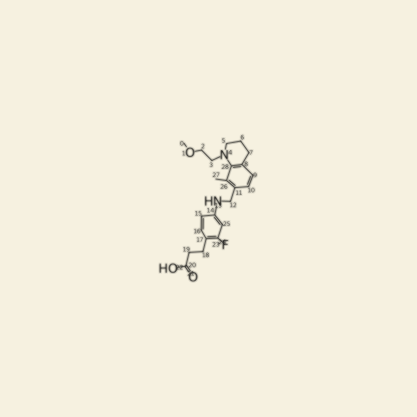 COCCN1CCCc2ccc(CNc3ccc(CCC(=O)O)c(F)c3)c(C)c21